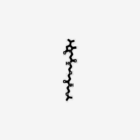 C=C1C(C(C)C)CC(=O)N1CCC(=O)NCCOCCC(=O)NCCOC(C)C